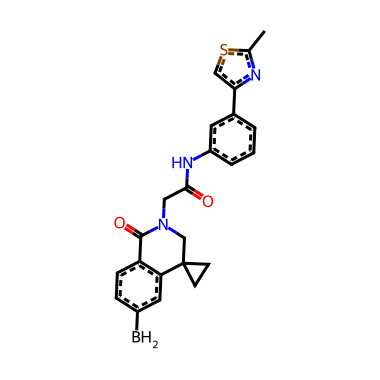 Bc1ccc2c(c1)C1(CC1)CN(CC(=O)Nc1cccc(-c3csc(C)n3)c1)C2=O